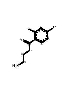 Cc1cc(F)ccc1C(=O)CCCN